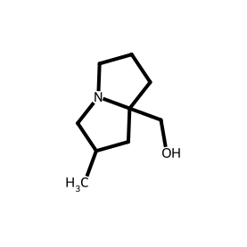 CC1CN2CCCC2(CO)C1